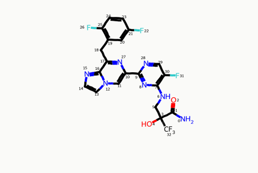 NC(=O)C(O)(CNc1nc(-c2cn3ccnc3c(Cc3cc(F)ccc3F)n2)ncc1F)C(F)(F)F